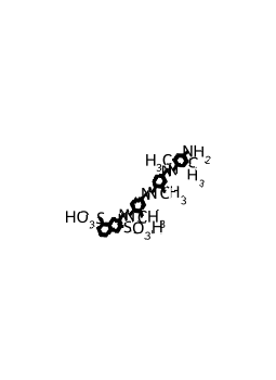 Cc1cc(N=Nc2ccc(N=Nc3ccc(N=Nc4cc5c(S(=O)(=O)O)cccc5cc4S(=O)(=O)O)c(C)c3)c(C)c2)c(C)cc1N